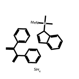 C=C(C(=C)c1ccccc1)c1ccccc1.C[NH][Ti]([CH3])([CH3])[CH]1C=Cc2ccccc21.[SiH4]